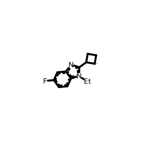 CCn1c(C2[CH]CC2)nc2cc(F)ccc21